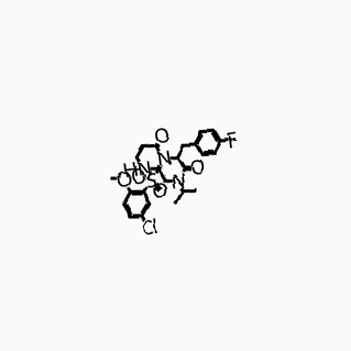 COc1ccc(Cl)cc1S(=O)(=O)C12CN(C(C)C)C(=O)C(Cc3ccc(F)cc3)N1C(=O)CCN2